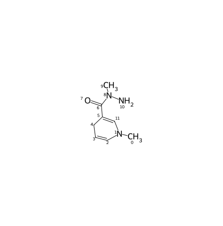 CN1C=CCC(C(=O)N(C)N)=C1